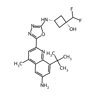 Cc1cc(-c2nnc(N[C@H]3C[C@](O)(C(F)F)C3)o2)nc2c(C(C)(C)C)cc(N)cc12